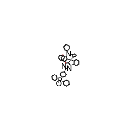 O=P(c1ccccc1)(c1ccccc1)c1ccc(-c2nc(-c3ccccc3)c3c(n2)-c2ccccc2C32c3ccccc3N(c3ccccc3)c3ccccc32)cc1